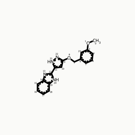 COc1cccc(COc2cc(-c3nc4ccccc4[nH]3)[nH]n2)c1